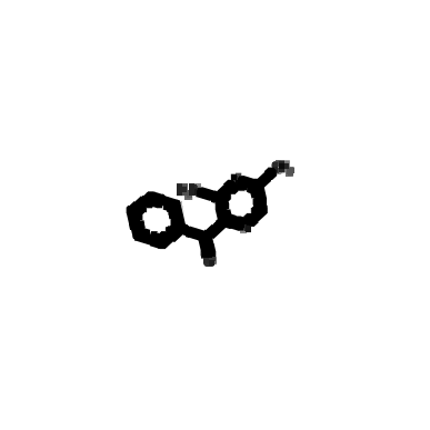 Cc1cnc(C(=O)c2ccccc2)c(N)n1